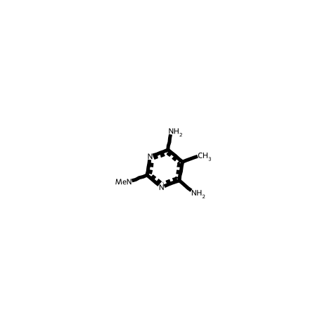 CNc1nc(N)c(C)c(N)n1